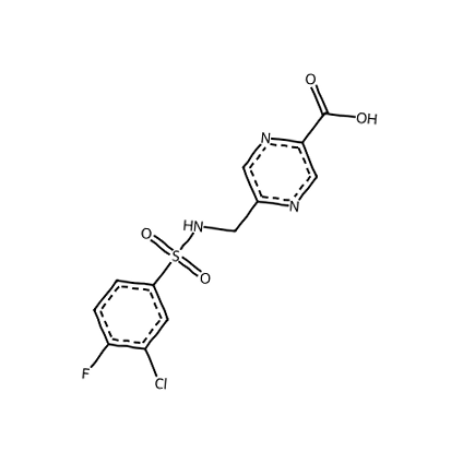 O=C(O)c1cnc(CNS(=O)(=O)c2ccc(F)c(Cl)c2)cn1